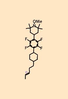 C/C=C/CCC1CCC(c2c(F)c(F)c(C3CC(C)(C)N(OC)C(C)(C)C3)c(F)c2F)CC1